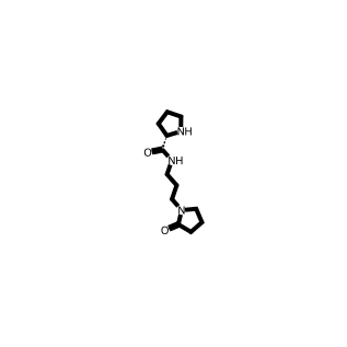 O=C(NCCCN1CCCC1=O)[C@@H]1CCCN1